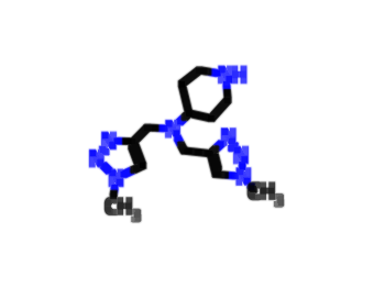 Cn1cc(CN(Cc2cn(C)nn2)C2CCNCC2)nn1